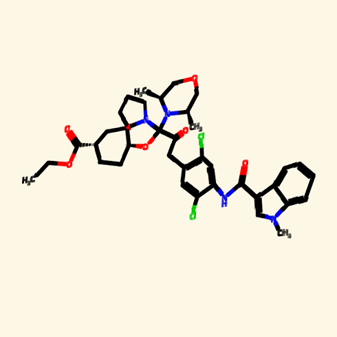 CCOC(=O)[C@H]1CC[C@H](OC(C(=O)Cc2cc(Cl)c(NC(=O)c3cn(C)c4ccccc34)cc2Cl)(N2CCCC2)N2[C@H](C)COC[C@@H]2C)CC1